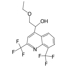 CCOCC(O)c1cc(C(F)(F)F)nc2c(C(F)(F)F)cccc12